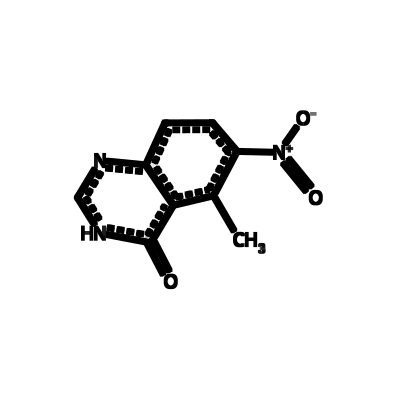 Cc1c([N+](=O)[O-])ccc2nc[nH]c(=O)c12